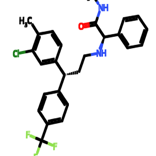 CNC(=O)[C@H](NCC[C@H](c1ccc(C(F)(F)F)cc1)c1ccc(C)c(Cl)c1)c1ccccc1